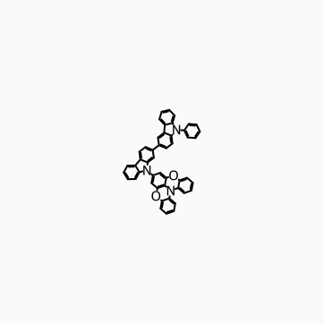 c1ccc(-n2c3ccccc3c3cc(-c4ccc5c6ccccc6n(-c6cc7c8c(c6)Oc6ccccc6N8c6ccccc6O7)c5c4)ccc32)cc1